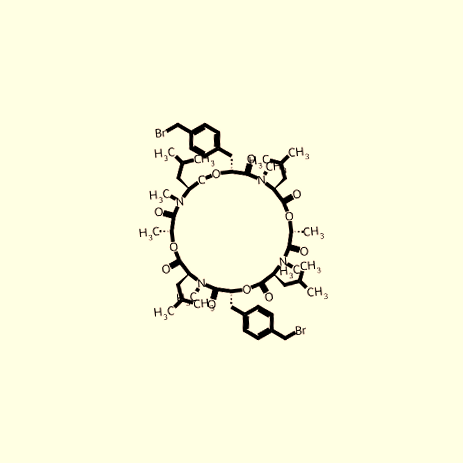 CC(C)C[C@H]1CO[C@H](Cc2ccc(CBr)cc2)C(=O)N(C)[C@@H](CC(C)C)C(=O)O[C@H](C)C(=O)N(C)[C@@H](CC(C)C)C(=O)O[C@H](Cc2ccc(CBr)cc2)C(=O)N(C)[C@@H](CC(C)C)C(=O)O[C@H](C)C(=O)N1C